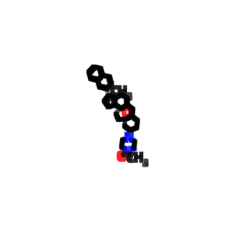 C[C@]12CC=C3C=C4CC[C@H](N5CC[N+](C)([O-])CC5)C[C@]45CC[C@]3(O5)[C@@H]1CC[C@@H]2c1ccc2ccccc2c1